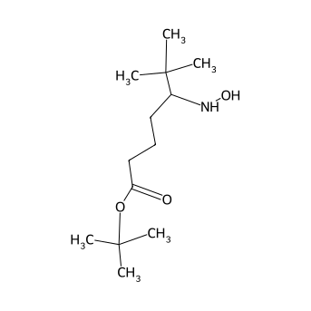 CC(C)(C)OC(=O)CCCC(NO)C(C)(C)C